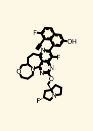 C#Cc1c(F)ccc2cc(O)cc(-c3nc4c5c(nc(OC[C@@]67CCCN6C[C@H](F)C7)nc5c3F)N3CCCOCC3CC4)c12